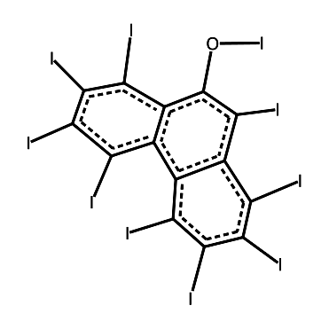 IOc1c(I)c2c(I)c(I)c(I)c(I)c2c2c(I)c(I)c(I)c(I)c12